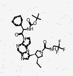 CC[C@@H]1CN(C(=O)NCC(F)(F)F)C[C@@H]1c1cnc2cnc3c(ccn3C(=O)C(NC(=O)OC(C)(C)C)c3ccccc3)n12